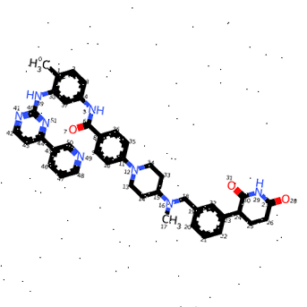 Cc1ccc(NC(=O)c2ccc(N3CCC(N(C)Cc4cccc(C5CCC(=O)NC5=O)c4)CC3)cc2)cc1Nc1nccc(-c2cccnc2)n1